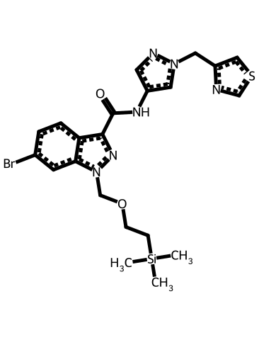 C[Si](C)(C)CCOCn1nc(C(=O)Nc2cnn(Cc3cscn3)c2)c2ccc(Br)cc21